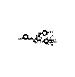 NC1CCC(Nc2nc(Nc3ccc(C(O)([PH2]=O)P(=O)(O)O)cc3)c3ncn(CCc4cccc(O)c4)c3n2)CC1